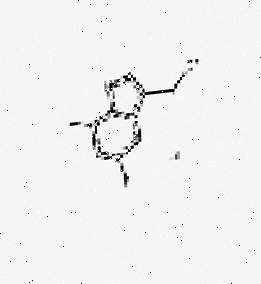 Fc1cc(F)c2ncc([CH]C(F)(F)F)n2c1.[LiH]